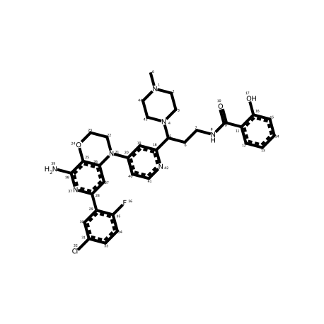 CN1CCN(C(CCNC(=O)c2ccccc2O)c2cc(N3CCOc4c3cc(-c3cc(Cl)ccc3F)nc4N)ccn2)CC1